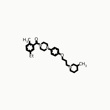 CCc1ccc(C)c(C(=O)N2CCN(c3ccc(OCCCN4CCCC(C)C4)cc3)CC2)c1